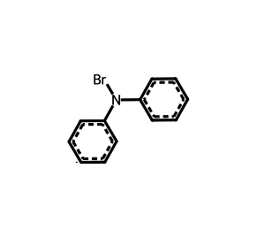 BrN(c1cc[c]cc1)c1ccccc1